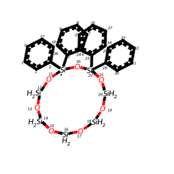 c1ccc([Si]2(c3ccccc3)O[SiH2]O[SiH2]O[SiH2]O[SiH2]O[SiH2]O[Si](c3ccccc3)(c3ccccc3)O2)cc1